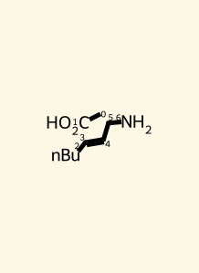 CC(=O)O.CCCCC=CCN